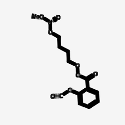 CO[N+](=O)OCCCCOOC(=O)c1ccccc1OC=O